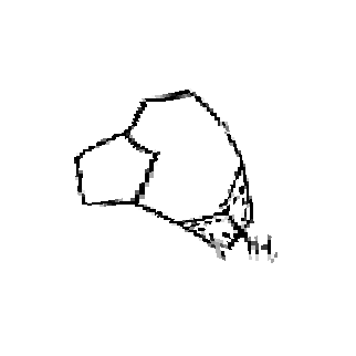 Nc1c2csc1C1CCC(CCS2)C1